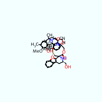 COc1c(C)cc2c(c1O)[C@@H]1[C@@H]3[C@@H]4SC[C@]5(N[C@@H](CO)Cc6c5oc5ccccc65)C(=O)OC[C@@H](c5c6c(c(C)c(OC(C)=O)c54)OCO6)N3C3(C#N)CN1C2(C)C3